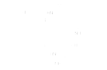 CC(C)(Cc1cccc(CC(=O)NCc2ccc(Cl)cc2Cl)c1)NCC(O)c1ccc(O)c(NC(N)=O)c1